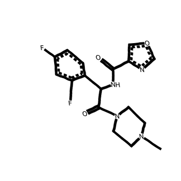 CN1CCN(C(=O)C(NC(=O)c2cocn2)c2ccc(F)cc2F)CC1